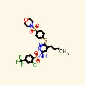 CCCCc1cc(NS(=O)(=O)c2ccc(C(F)(F)F)cc2Cl)nnc1Sc1ccc(S(=O)(=O)N2CCOCC2)cc1